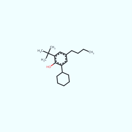 CCCCc1cc(C2CCCCC2)c(O)c(C(C)(C)C)c1